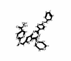 CN(Cc1cc2nc(-c3ccc(OCc4ccccc4)nc3)nc(N3CCOCC3)c2s1)c1ncc(C(=O)NO)cn1